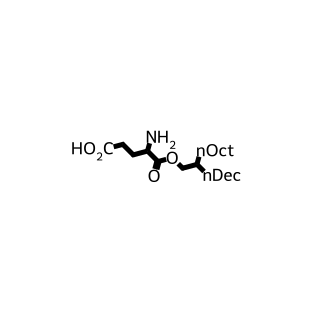 CCCCCCCCCCC(CCCCCCCC)COC(=O)C(N)CCC(=O)O